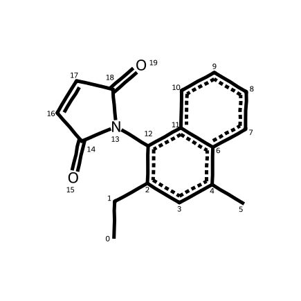 CCc1cc(C)c2ccccc2c1N1C(=O)C=CC1=O